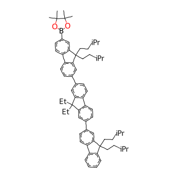 CCC1(CC)c2cc(-c3ccc4c(c3)C(CCC(C)C)(CCC(C)C)c3ccccc3-4)ccc2-c2ccc(-c3ccc4c(c3)C(CCC(C)C)(CCC(C)C)c3cc(B5OC(C)(C)C(C)(C)O5)ccc3-4)cc21